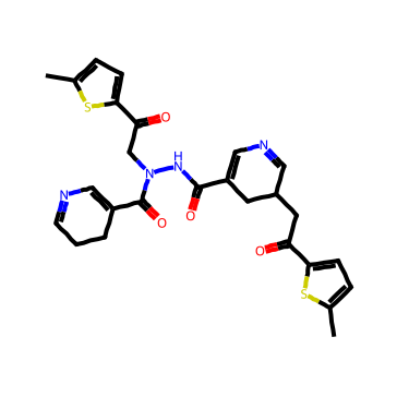 Cc1ccc(C(=O)CC2C=NC=C(C(=O)NN(CC(=O)c3ccc(C)s3)C(=O)C3=CN=CCC3)C2)s1